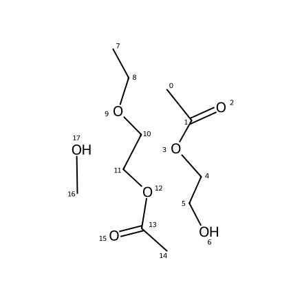 CC(=O)OCCO.CCOCCOC(C)=O.CO